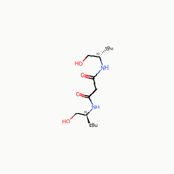 CC(C)(C)[C@@H](CO)NC(=O)CC(=O)N[C@H](CO)C(C)(C)C